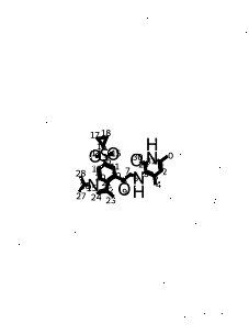 Cc1cc(C)c(NCC(=O)c2cc(S(=O)(=O)C3CC3)cc3c2c(C)cn3C(C)C)c(=O)[nH]1